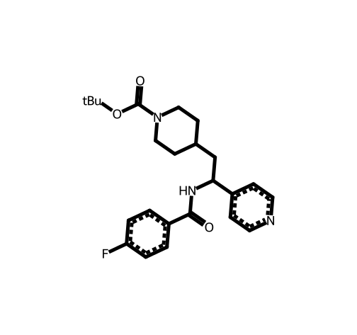 CC(C)(C)OC(=O)N1CCC(CC(NC(=O)c2ccc(F)cc2)c2ccncc2)CC1